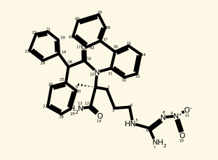 C[C@](CCCNC(N)=N[N+](=O)[O-])(C(N)=O)N(C(=O)C(c1ccccc1)c1ccccc1)c1ccccc1-c1ccccc1